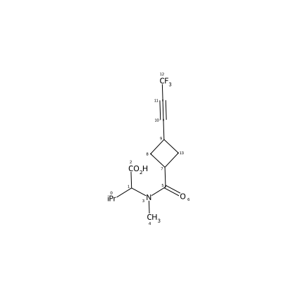 CC(C)C(C(=O)O)N(C)C(=O)C1CC(C#CC(F)(F)F)C1